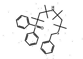 CC(C)(CC(C)(C)SCc1ccccc1)NC(C)(C)CC(C)(C)P(=O)(c1ccccc1)c1ccccc1